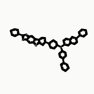 c1ccc(-c2ccc(N(c3ccc(-c4ccc5c(c4)oc4cc6nc(-c7ccccc7)sc6cc45)cc3)c3ccc4cc(-c5ccccc5)ccc4c3)cc2)cc1